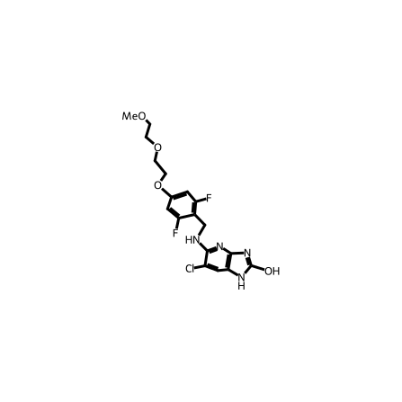 COCCOCCOc1cc(F)c(CNc2nc3nc(O)[nH]c3cc2Cl)c(F)c1